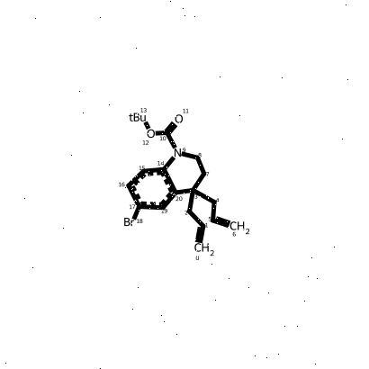 C=CCC1(CC=C)CCN(C(=O)OC(C)(C)C)c2ccc(Br)cc21